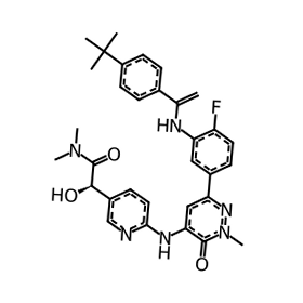 C=C(Nc1cc(-c2cc(Nc3ccc([C@@H](O)C(=O)N(C)C)cn3)c(=O)n(C)n2)ccc1F)c1ccc(C(C)(C)C)cc1